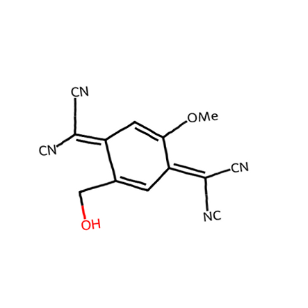 [C-]#[N+]/C(C#N)=c1/cc(OC)/c(=C(\C#N)[N+]#[C-])cc1CO